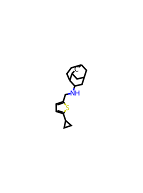 c1cc(C2CC2)sc1CNC1CC2CC3CCC1C(C3)C2